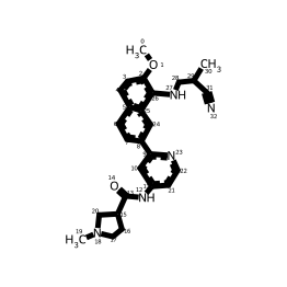 COc1ccc2ccc(-c3cc(NC(=O)C4CCN(C)C4)ccn3)cc2c1NCC(C)C#N